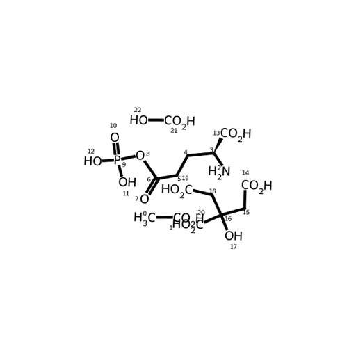 CC(=O)O.N[C@@H](CCC(=O)OP(=O)(O)O)C(=O)O.O=C(O)CC(O)(CC(=O)O)C(=O)O.O=C(O)O